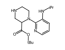 CC(C)Nc1cccnc1N1CCNCC1C(=O)OC(C)(C)C